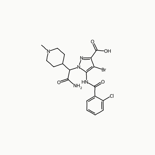 CN1CCC(C(C(N)=O)n2nc(C(=O)O)c(Br)c2NC(=O)c2ccccc2Cl)CC1